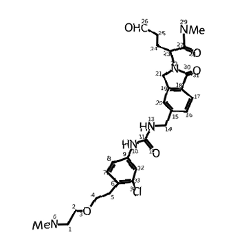 CNCCOCCc1ccc(NC(=O)NCc2ccc3c(c2)CN(C(CCC=O)C(=O)NC)C3=O)cc1Cl